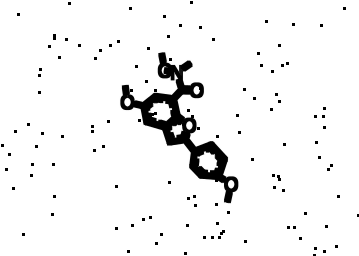 COc1ccc(-c2cc3cc(OC)cc(C(=O)N(C)OC)c3o2)cc1